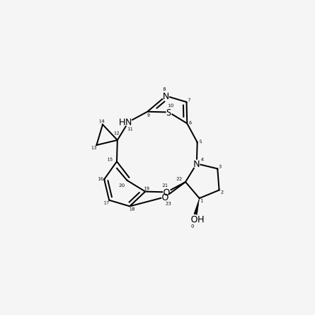 O[C@@H]1CCN2Cc3cnc(s3)NC3(CC3)c3ccc4c(c3)OC12O4